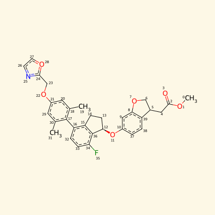 COC(=O)CC1COc2cc(O[C@@H]3CCc4c(-c5c(C)cc(OCc6ncco6)cc5C)ccc(F)c43)ccc21